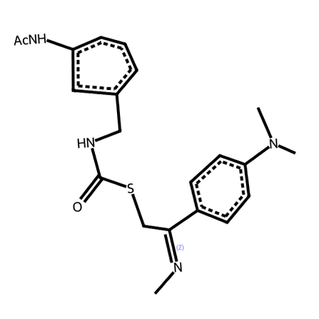 C/N=C(\CSC(=O)NCc1cccc(NC(C)=O)c1)c1ccc(N(C)C)cc1